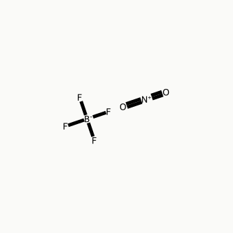 F[B-](F)(F)F.O=[N+]=O